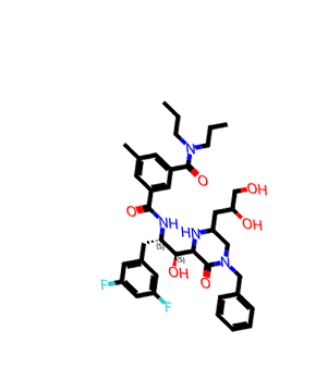 CCCN(CCC)C(=O)c1cc(C)cc(C(=O)N[C@@H](Cc2cc(F)cc(F)c2)[C@H](O)C2NC(CC(O)CO)CN(Cc3ccccc3)C2=O)c1